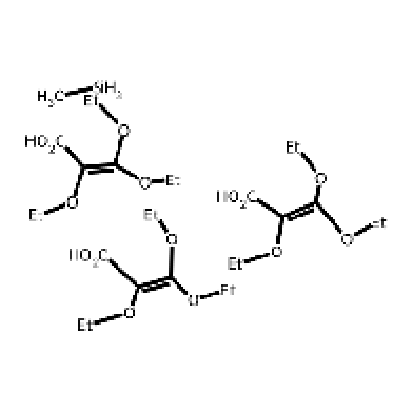 CCOC(OCC)=C(OCC)C(=O)O.CCOC(OCC)=C(OCC)C(=O)O.CCOC(OCC)=C(OCC)C(=O)O.C[SiH3]